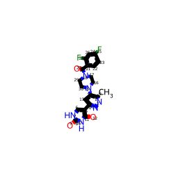 Cc1nnc(-c2c[nH]c(=O)[nH]c2=O)cc1N1CCN(C(=O)c2ccc(F)cc2F)CC1